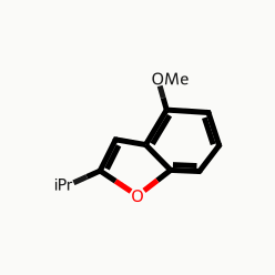 COc1cccc2oc(C(C)C)cc12